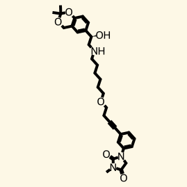 CN1C(=O)CN(c2cccc(C#CCCOCCCCCCNC[C@@H](O)c3ccc4c(c3)COC(C)(C)O4)c2)C1=O